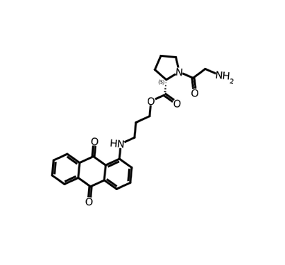 NCC(=O)N1CCC[C@H]1C(=O)OCCCNc1cccc2c1C(=O)c1ccccc1C2=O